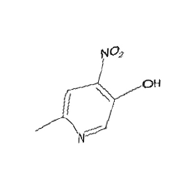 Cc1cc([N+](=O)[O-])c(O)cn1